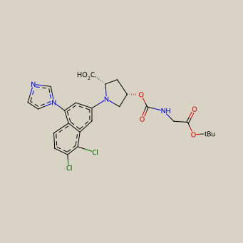 CC(C)(C)OC(=O)CNC(=O)O[C@H]1C[C@@H](C(=O)O)N(c2cc(-n3ccnc3)c3ccc(Cl)c(Cl)c3c2)C1